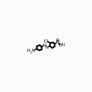 Nc1ccc(/N=N/c2ccc([N+](=O)O)cc2Cl)cc1